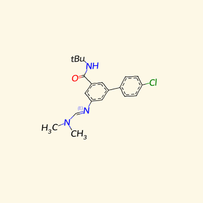 CN(C)/C=N/c1cc(C(=O)NC(C)(C)C)cc(-c2ccc(Cl)cc2)c1